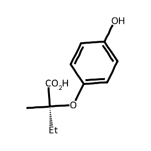 CC[C@@](C)(Oc1ccc(O)cc1)C(=O)O